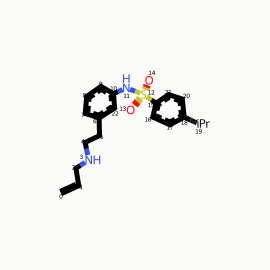 C=CCNCCc1cccc(NS(=O)(=O)c2ccc(C(C)C)cc2)c1